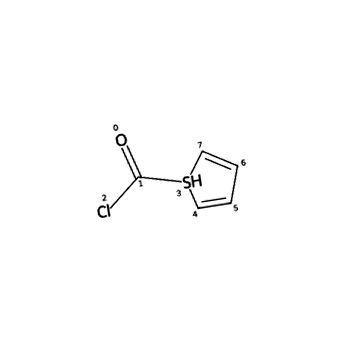 O=C(Cl)[SH]1C=CC=C1